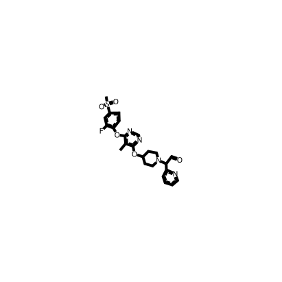 Cc1c(Oc2ccc(S(C)(=O)=O)cc2F)ncnc1OC1CCN(C(C=O)c2ccccn2)CC1